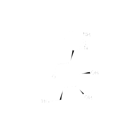 OC[C@H]1OC[C@@H](c2cc[nH]n2)[C@@H](O)[C@H]1O